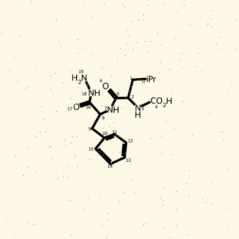 CC(C)CC(NC(=O)O)C(=O)NC(Cc1ccccc1)C(=O)NN